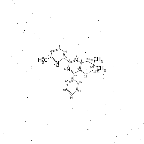 Cc1cccc(-c2nc3c(c(-c4ccccc4)n2)CCC(C)(C)C3)n1